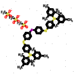 Cc1cc(C)c([S+](c2ccc(Sc3ccc([I+]c4ccc(Sc5ccc([S+](c6c(C)cc(C)cc6C)c6c(C)cc(C)cc6C)cc5)cc4)cc3)cc2)c2c(C)cc(C)cc2C)c(C)c1.O=S(=O)([O-])C(F)(F)F.O=S(=O)([O-])C(F)(F)F.O=S(=O)([O-])C(F)(F)F